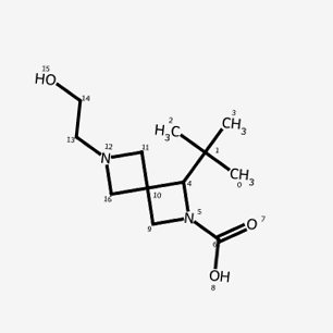 CC(C)(C)C1N(C(=O)O)CC12CN(CCO)C2